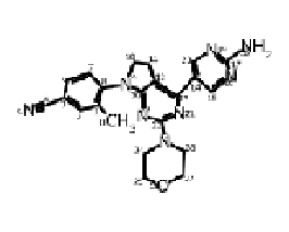 Cc1cc(C#N)ccc1N1CCc2c(-c3cnc(N)nc3)nc(N3CCOCC3)nc21